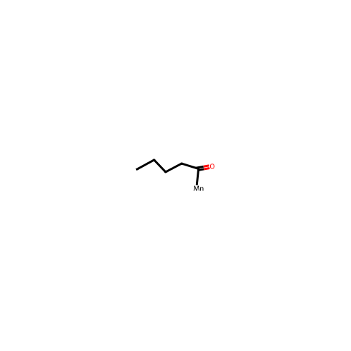 CCCC[C](=O)[Mn]